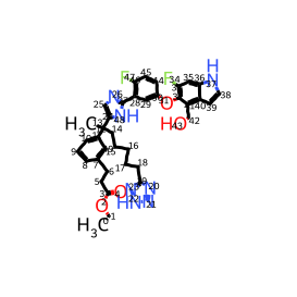 CCOC(=O)CCc1cccc(C(C)(CCCCCc2nn[nH]n2)c2cnc(-c3cc(Oc4c(F)cc5[nH]ccc5c4CO)ccc3F)[nH]2)c1